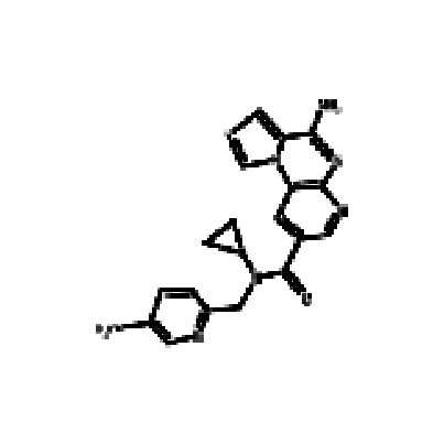 Nc1nc2ncc(C(=O)N(Cc3ccc(C(F)(F)F)cn3)C3CC3)cc2n2cncc12